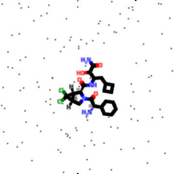 NC(=O)C(O)C(CC1CCC1)NC(=O)[C@@H]1[C@@H]2[C@H](CN1C(=O)[C@@H](N)C1CCCCC1)C2(Cl)Cl